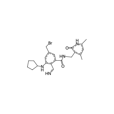 Cc1cc(C)c(CNC(=O)c2cc(CBr)cc(NC3CCCC3)c2C=N)c(=O)[nH]1